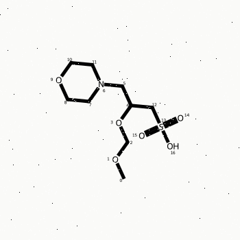 COCOC(CN1CCOCC1)CS(=O)(=O)O